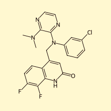 CN(C)c1nccnc1N(Cc1cc(=O)[nH]c2c(F)c(F)ccc12)c1cccc(Cl)c1